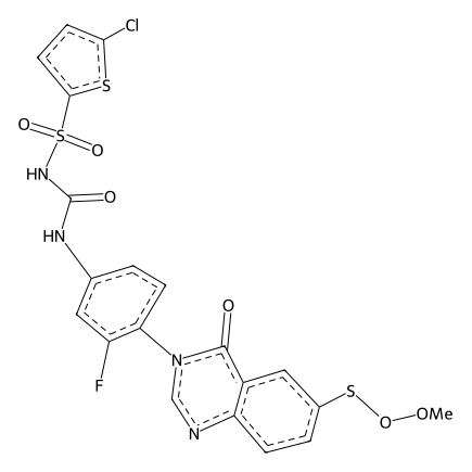 COOSc1ccc2ncn(-c3ccc(NC(=O)NS(=O)(=O)c4ccc(Cl)s4)cc3F)c(=O)c2c1